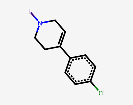 Clc1ccc(C2=CCN(I)CC2)cc1